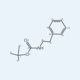 CC(C)(C)OC(=O)N[C]Cc1ccccc1